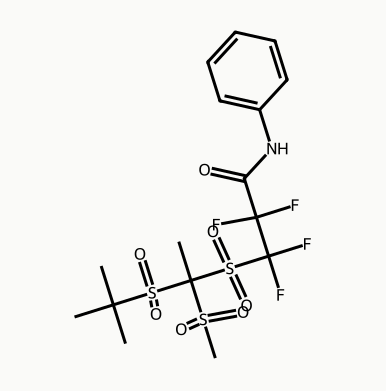 CC(C)(C)S(=O)(=O)C(C)(S(C)(=O)=O)S(=O)(=O)C(F)(F)C(F)(F)C(=O)Nc1ccccc1